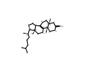 CC(C)CCC[C@@H](C)[C@H]1CCC2C3=C(CC[C@@]21C)[C@@]1(C)CCC(=O)C[C@@]1(C)CC3